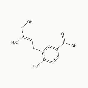 C/C(=C\Cc1cc(C(=O)O)ccc1O)CO